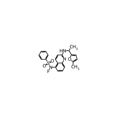 Cc1ccc(C(C)Nc2ccc3c(N(F)S(=O)(=O)c4ccccc4)cccc3n2)o1